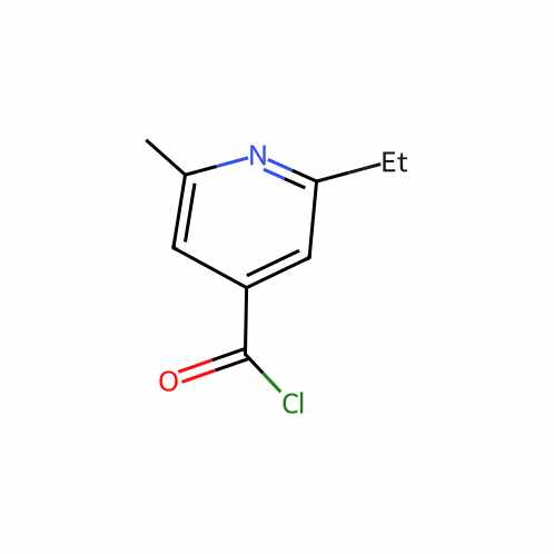 CCc1cc(C(=O)Cl)cc(C)n1